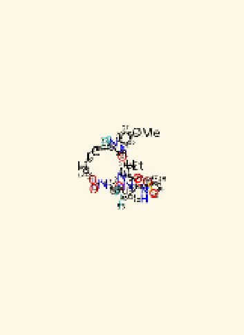 CC[C@@H]1[C@@H]2CN(C(=O)[C@H](C(C)(C)C)NC(=O)OC3C[C@H]3CCCCC(F)(F)c3nc4ccc(OC)cc4nc3O2)[C@@H]1C(=O)N[C@]1(C(=O)NS(=O)(=O)C2(C)CC2)C[C@H]1C(F)F